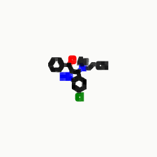 CC(=O)N(CCC#N)c1c(C(=O)c2ccccc2)[nH]c2cc(Cl)ccc12